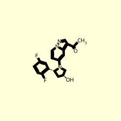 CC(=O)c1cnn2ccc(N3C[C@H](O)C[C@@H]3c3cc(F)ccc3F)cc12